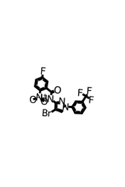 O=C(Nc1nn(-c2cccc(C(F)(F)F)c2)cc1Br)c1cc(F)ccc1[N+](=O)[O-]